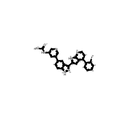 CCCC(=O)Nc1cncc(-c2ccc3[nH]nc(-c4cc5c(-c6ccccc6F)ccnc5[nH]4)c3c2)c1